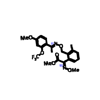 CO/N=C(/C(=O)OC)c1cccc(C)c1CO/N=C(\C)c1ccc(OC)cc1OC(F)(F)F